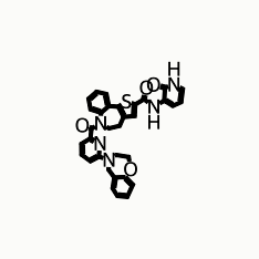 O=C(Nc1ccc[nH]c1=O)c1cc2c(s1)-c1ccccc1N(C(=O)c1cccc(N3CCOc4ccccc4C3)n1)CC2